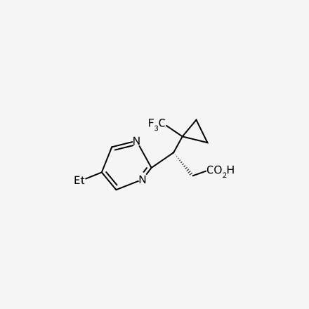 CCc1cnc([C@@H](CC(=O)O)C2(C(F)(F)F)CC2)nc1